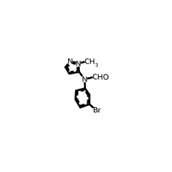 Cn1nccc1N(C=O)c1cccc(Br)c1